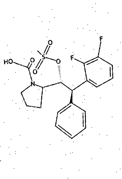 CS(=O)(=O)O[C@@H](C1CCCN1C(=O)O)[C@H](c1ccccc1)c1cccc(F)c1F